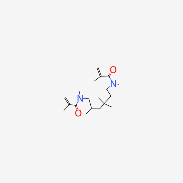 C=C(C)C(=O)N(C)CCC(C)(C)CC(C)CN(C)C(=O)C(=C)C